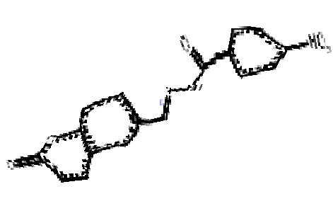 O=C(N/N=C/c1ccc2oc(=O)ccc2c1)c1ccc([N+](=O)[O-])cc1